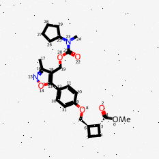 COC(=O)[C@@H]1CC[C@H]1COc1ccc(-c2onc(C)c2COC(=O)N(C)C2CCCC2)cc1